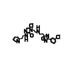 O=c1c(NCCc2ccccn2)ncc(Cl)n1CCNCCc1nc(-c2cccc(Cl)c2)no1